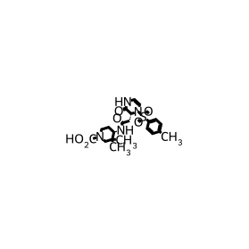 Cc1ccc(S(=O)(=O)N2C=CNC(=O)[C@H]2CC(=O)N[C@H]2CCN(C(=O)O)CC2(C)C)cc1